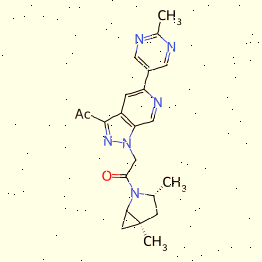 CC(=O)c1nn(CC(=O)N2C3C[C@]3(C)C[C@H]2C)c2cnc(-c3cnc(C)nc3)cc12